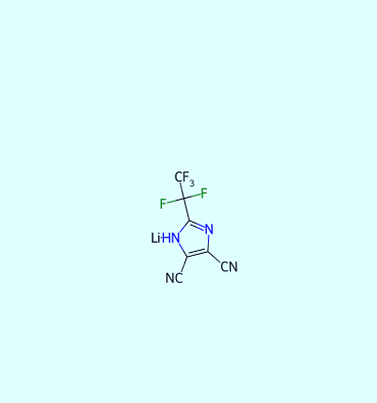 N#Cc1nc(C(F)(F)C(F)(F)F)[nH]c1C#N.[Li]